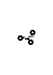 c1ccc(N=NC(=NNc2ccccc2)c2ccccc2)cc1